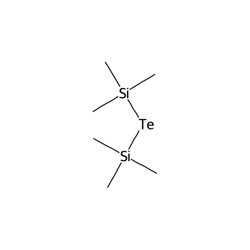 C[Si](C)(C)[Te][Si](C)(C)C